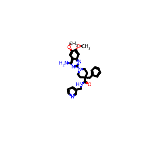 COc1cc2nc(N3CCC(Cc4ccccc4)(C(=O)NCc4cccnc4)CC3)nc(N)c2cc1OC